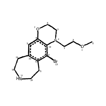 COCCN1CCOc2cc3c(c(Br)c21)CCNCC3